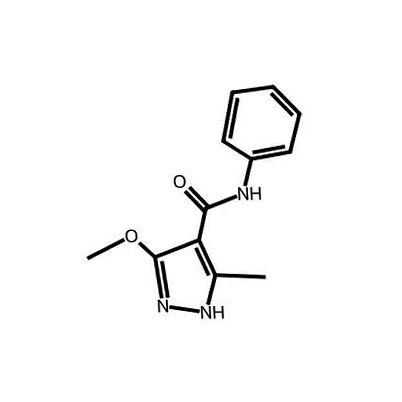 COc1n[nH]c(C)c1C(=O)Nc1ccccc1